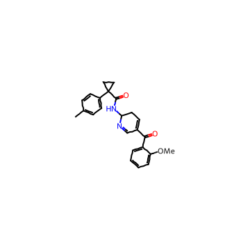 COc1ccccc1C(=O)C1=CCC(NC(=O)C2(c3ccc(C)cc3)CC2)N=C1